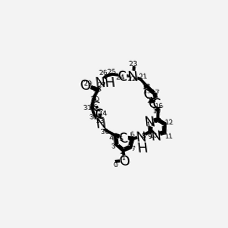 COc1cc2cc(c1)Nc1nccc(n1)-c1ccc(cc1)CN(C)CCCNC(=O)C1CCN(CC1)C2